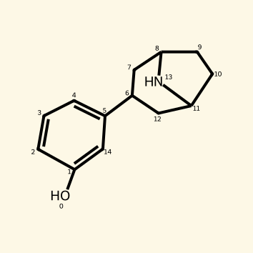 Oc1cccc(C2CC3CCC(C2)N3)c1